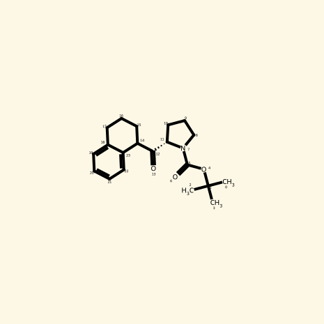 CC(C)(C)OC(=O)N1CCC[C@H]1C(=O)C1CCCc2ccccc21